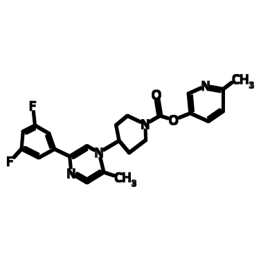 CC1=C=NC(c2cc(F)cc(F)c2)=CN1C1CCN(C(=O)Oc2ccc(C)nc2)CC1